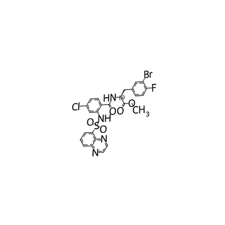 COC(=O)[C@H](Cc1ccc(F)c(Br)c1)NC(=O)c1ccc(Cl)cc1NS(=O)(=O)c1cccc2nccnc12